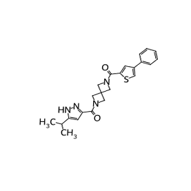 CC(C)c1cc(C(=O)N2CC3(C2)CN(C(=O)c2cc(-c4ccccc4)cs2)C3)n[nH]1